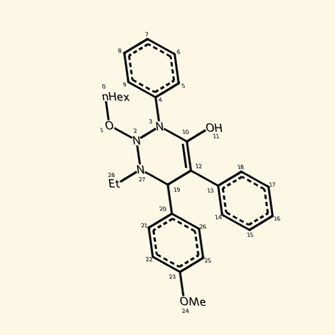 CCCCCCON1N(c2ccccc2)C(O)=C(c2ccccc2)C(c2ccc(OC)cc2)N1CC